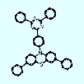 c1ccc(-c2ccc3c(c2)Sc2cc(-c4ccccc4)ccc2N3c2ccc(-c3nc(-c4ccccc4)nc(-c4ccccc4)n3)cc2)cc1